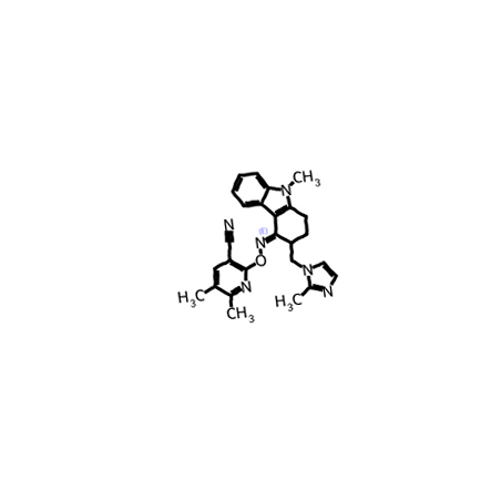 Cc1cc(C#N)c(O/N=C2/c3c(n(C)c4ccccc34)CCC2Cn2ccnc2C)nc1C